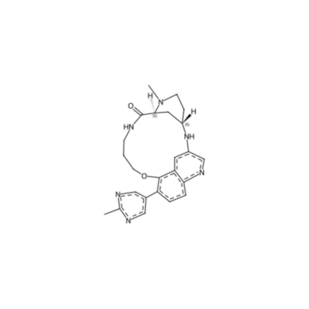 Cc1ncc(-c2ccc3ncc4cc3c2OCCCNC(=O)[C@@H]2C[C@H](CCN2C)N4)cn1